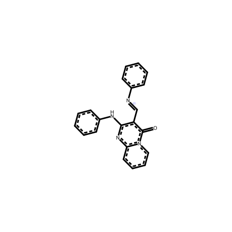 O=c1c(/C=N/c2ccccc2)c(Nc2ccccc2)nc2ccccn12